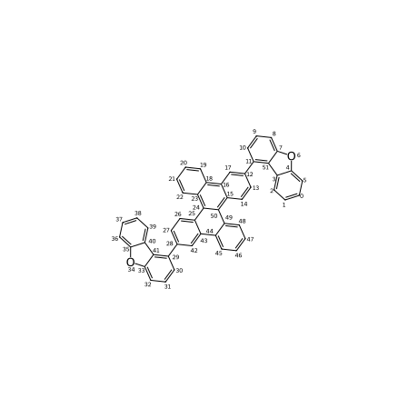 c1ccc2c(c1)oc1cccc(-c3ccc4c(c3)c3ccccc3c3c5ccc(-c6cccc7oc8ccccc8c67)cc5c5ccccc5c43)c12